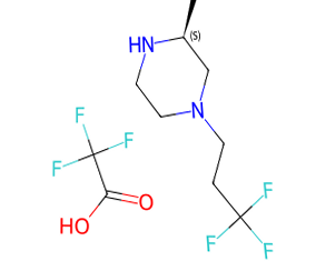 C[C@H]1CN(CCC(F)(F)F)CCN1.O=C(O)C(F)(F)F